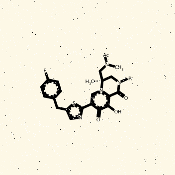 CC(=O)N(C)C[C@@]1(C)CN(C(C)C)C(=O)c2c(O)c(=O)c(-c3ncc(Cc4ccc(F)cc4)s3)cn21